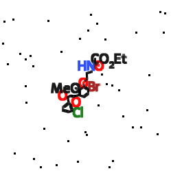 CCOC(=O)C(=O)NCCCOc1c(Br)ccc(-c2cc(=O)c3cccc(Cl)c3o2)c1OC